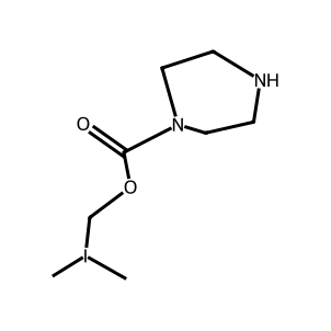 CI(C)COC(=O)N1CCNCC1